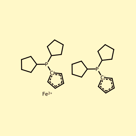 [Fe+2].c1cc[c-](P(C2CCCC2)C2CCCC2)c1.c1cc[c-](P(C2CCCC2)C2CCCC2)c1